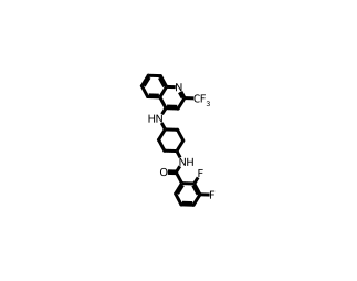 O=C(NC1CCC(Nc2cc(C(F)(F)F)nc3ccccc23)CC1)c1cccc(F)c1F